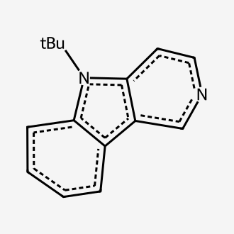 CC(C)(C)n1c2ccccc2c2cnccc21